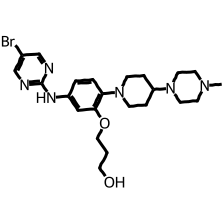 CN1CCN(C2CCN(c3ccc(Nc4ncc(Br)cn4)cc3OCCCO)CC2)CC1